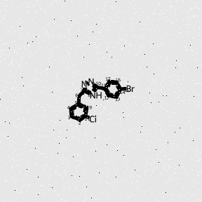 Clc1cccc(Cc2nnc(-c3ccc(Br)cc3)[nH]2)c1